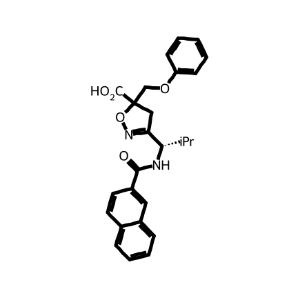 CC(C)[C@H](NC(=O)c1ccc2ccccc2c1)C1=NOC(COc2ccccc2)(C(=O)O)C1